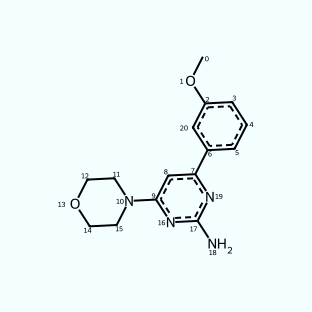 COc1cccc(-c2cc(N3CCOCC3)nc(N)n2)c1